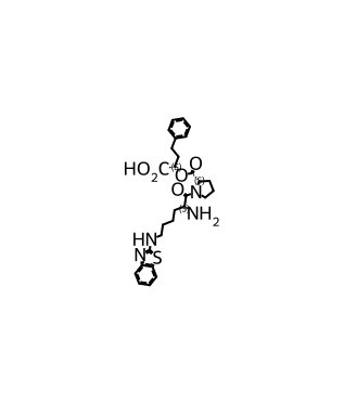 N[C@@H](CCCCNc1nc2ccccc2s1)C(=O)N1CCC[C@H]1C(=O)O[C@@H](CCc1ccccc1)C(=O)O